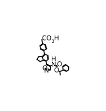 CC(OC(=O)Nc1cnoc1-c1ccc(-c2ccc(CC(=O)O)cc2)c2c1CCC2)c1ccccc1